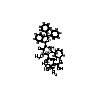 CN(C(=O)[C@@H](N)CSC(c1ccccc1)(c1ccccc1)c1ccccc1)[C@H](CC1CCCCC1)C(=O)N[C@@H](C(=O)O)C(C)(C)S